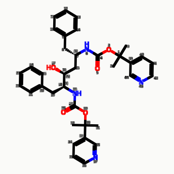 CC(C)(OC(=O)N[C@@H](Cc1ccccc1)C[C@H](O)[C@H](Cc1ccccc1)NC(=O)OC(C)(C)c1cccnc1)c1cccnc1